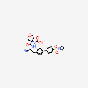 N#CC(Cc1ccc(-c2ccc(S(=O)(=O)N3CCC3)cc2)cc1)NC(=O)C1(NC(=O)O)CCOCC1